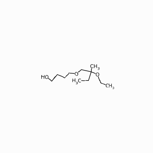 CCOC(C)(CC)COCCCCO